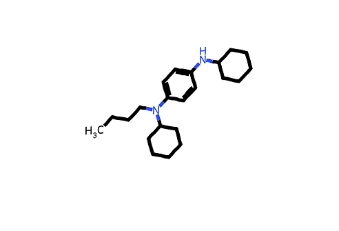 CCCCN(c1ccc(NC2CCCCC2)cc1)C1CCCCC1